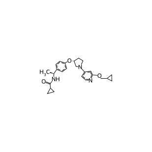 C[C@H](NC(=O)C1CC1)c1ccc(O[C@@H]2CCN(c3ccnc(OCC4CC4)c3)C2)cc1